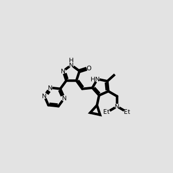 CCN(CC)Cc1c(C)[nH]c(C=C2C(=O)NN=C2c2nccnn2)c1C1CC1